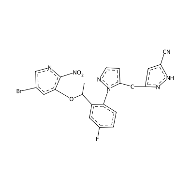 CC(Oc1cc(Br)cnc1[N+](=O)[O-])c1cc(F)ccc1-n1nccc1Cc1cc(C#N)[nH]n1